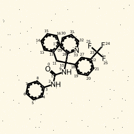 O=C(Nc1ccccc1)NC(Cc1ccccc1)(c1cccc(C(F)(F)F)c1)c1ccccn1